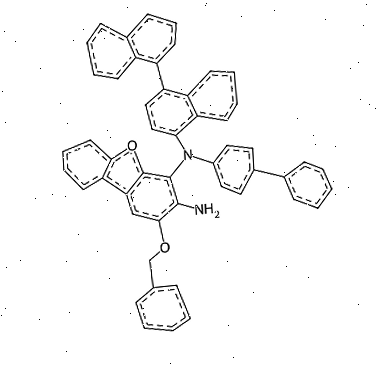 Nc1c(OCc2ccccc2)cc2c(oc3ccccc32)c1N(c1ccc(-c2ccccc2)cc1)c1ccc(-c2cccc3ccccc23)c2ccccc12